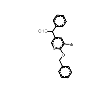 O=CC(c1ccccc1)c1cnc(OCc2ccccc2)c(Br)c1